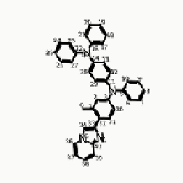 Cc1cc(N(c2ccccc2)c2ccc(N(c3ccccc3)c3ccccc3)cc2)ccc1-c1cn2ccccc2n1